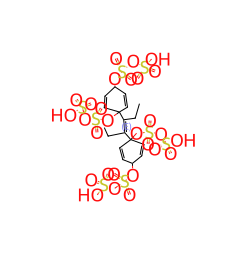 CC/C(=C(/CC)C1(OS(=O)(=O)OS(=O)(=O)O)C=CC(OS(=O)(=O)OS(=O)(=O)O)C=C1)C1(OS(=O)(=O)OS(=O)(=O)O)C=CC(OS(=O)(=O)OS(=O)(=O)O)C=C1